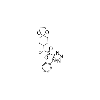 O=S(=O)(c1nnnn1-c1ccccc1)C(F)C1CCC2(CC1)OCCO2